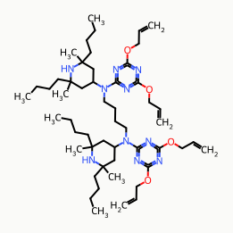 C=CCOc1nc(OCC=C)nc(N(CCCCN(c2nc(OCC=C)nc(OCC=C)n2)C2CC(C)(CCCC)NC(C)(CCCC)C2)C2CC(C)(CCCC)NC(C)(CCCC)C2)n1